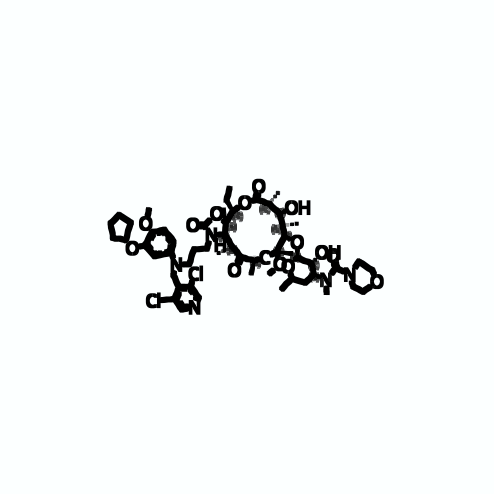 CC[C@H]1OC(=O)[C@H](C)[C@@H](O)[C@H](C)[C@@H](O[C@@H]2OC(C)C[C@H](N(C)C(=O)N3CCOCC3)[C@H]2O)[C@](C)(OC)C[C@@H](C)C(=O)[C@H](C)[C@H]2N(CCCN(Cc3c(Cl)cncc3Cl)c3ccc(OC)c(OC4CCCC4)c3)C(=O)O[C@]12C